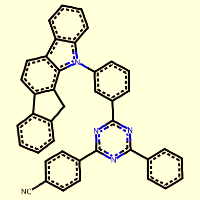 N#Cc1ccc(-c2nc(-c3ccccc3)nc(-c3cccc(-n4c5ccccc5c5ccc6c(c54)Cc4ccccc4-6)c3)n2)cc1